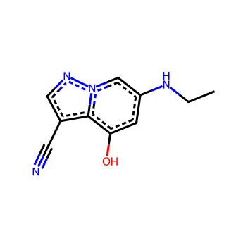 CCNc1cc(O)c2c(C#N)cnn2c1